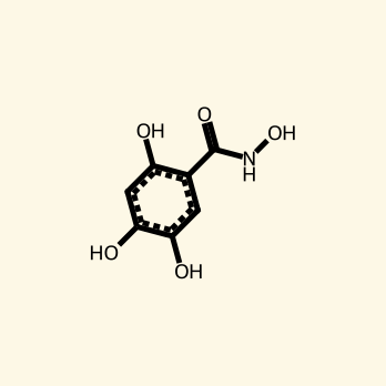 O=C(NO)c1cc(O)c(O)cc1O